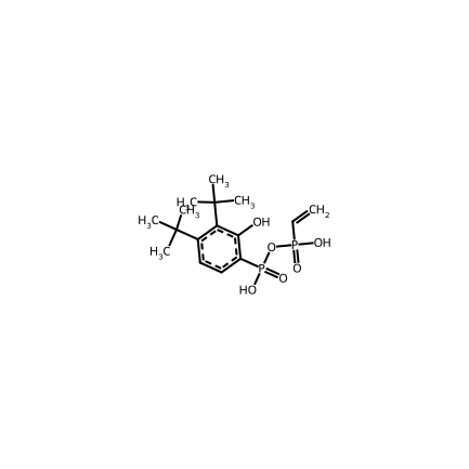 C=CP(=O)(O)OP(=O)(O)c1ccc(C(C)(C)C)c(C(C)(C)C)c1O